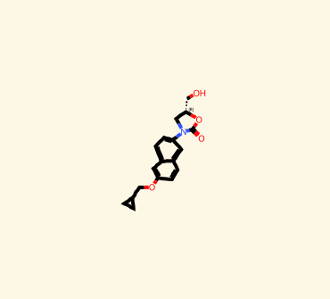 O=C1O[C@@H](CO)CN1c1ccc2cc(OCC3CC3)ccc2c1